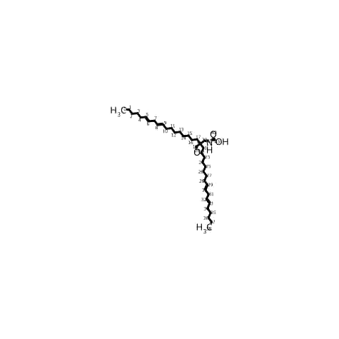 CCCCCC=CCC=CCCCCCCCCC(C=O)(CCCCCCCCC=CCC=CCCCCC)CNC(=O)O